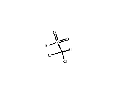 O=S(=O)(Br)C(Cl)(Cl)Cl